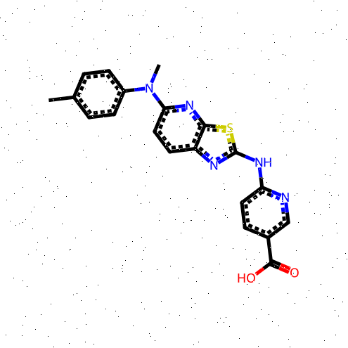 Cc1ccc(N(C)c2ccc3nc(Nc4ccc(C(=O)O)cn4)sc3n2)cc1